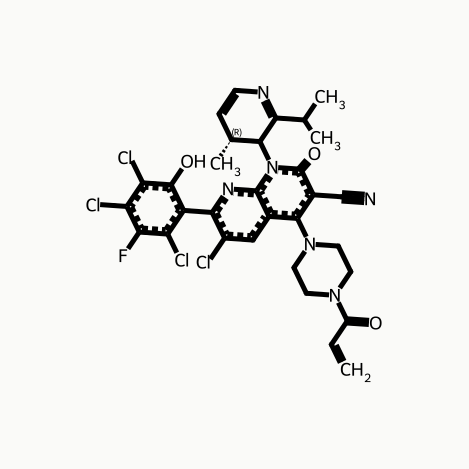 C=CC(=O)N1CCN(c2c(C#N)c(=O)n(C3C(C(C)C)=NC=C[C@H]3C)c3nc(-c4c(O)c(Cl)c(Cl)c(F)c4Cl)c(Cl)cc23)CC1